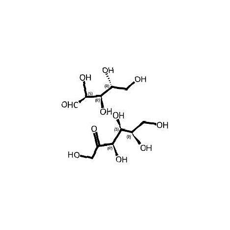 O=C(CO)[C@H](O)[C@@H](O)[C@H](O)CO.O=C[C@@H](O)[C@H](O)[C@H](O)CO